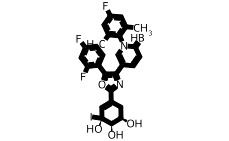 B=C1C=CC(c2nc(C3=C[C@](O)(I)[C@@H](O)[C@H](O)C3)oc2-c2ccc(F)cc2F)=CN1c1c(C)cc(F)cc1C